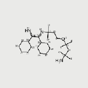 CC(C)(N)CC(C)(C)OCCC(C)(C)/N=C(/C(=N)C1CCCCC1)C1CCCCC1